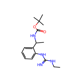 CCNC(=N)Nc1ccccc1C(C)NC(=O)OC(C)(C)C